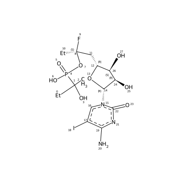 CCC(C)(O)P(=O)(O)O[C@](F)(CC)C[C@H]1O[C@@H](n2cc(I)c(N)nc2=O)[C@H](O)[C@@H]1O